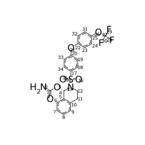 NC(=O)O[C@H]1c2ccccc2CCN1S(=O)(=O)c1ccc(Oc2ccc(OC(F)(F)F)cc2)cc1